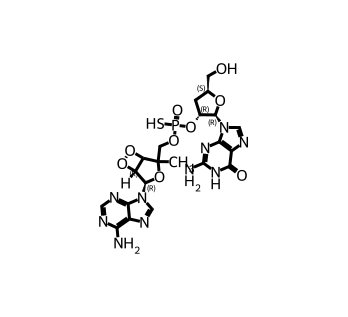 CC1(COP(=O)(S)O[C@@H]2C[C@@H](CO)O[C@H]2n2cnc3c(=O)[nH]c(N)nc32)O[C@@H](n2cnc3c(N)ncnc32)[C@@H]2OOC21